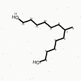 CC(CCCCCO)CCCCCCO